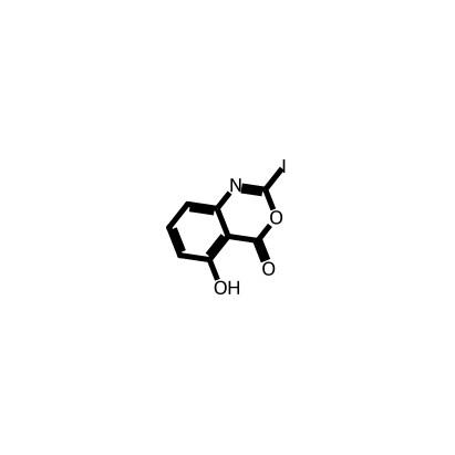 O=c1oc(I)nc2cccc(O)c12